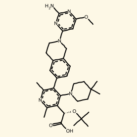 COc1cc(N2CCc3cc(-c4c(C)nc(C)c([C@H](OC(C)(C)C)C(=O)O)c4N4CCC(C)(C)CC4)ccc3C2)nc(N)n1